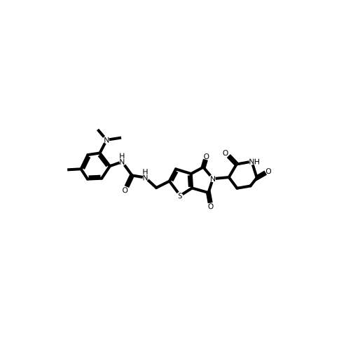 Cc1ccc(NC(=O)NCc2cc3c(s2)C(=O)N(C2CCC(=O)NC2=O)C3=O)c(N(C)C)c1